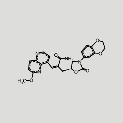 COc1ccc2nccc(C=C(C[C@H]3CN(c4ccc5c(c4)OCCO5)C(=O)O3)C(N)=O)c2n1